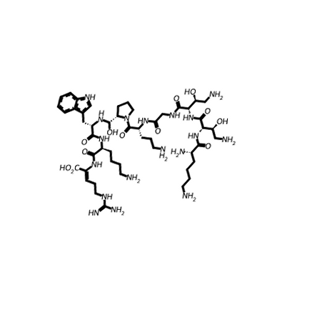 N=C(N)NCC/C=C(\NC(=O)[C@H](CCCCN)NC(=O)[C@H](Cc1c[nH]c2ccccc12)NC(O)[C@@H]1CCCN1C(=O)[C@@H](CCCN)NC(=O)CNC(=O)[C@@H](NC(=O)[C@@H](NC(=O)[C@@H](N)CCCCN)[C@@H](O)CN)[C@@H](O)CN)C(=O)O